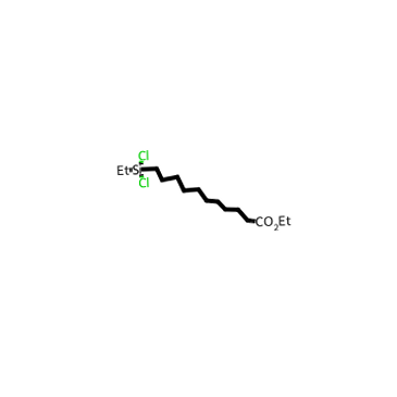 CCOC(=O)CCCCCCCCCC[Si](Cl)(Cl)CC